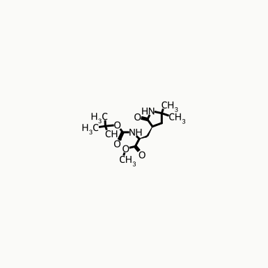 COC(=O)[C@H](C[C@@H]1CC(C)(C)NC1=O)NC(=O)OC(C)(C)C